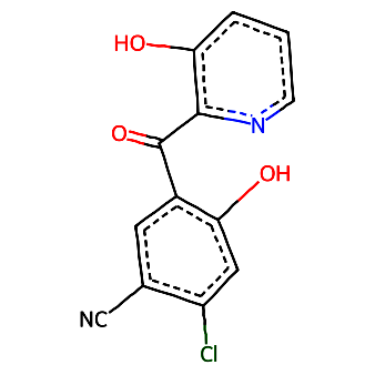 N#Cc1cc(C(=O)c2ncccc2O)c(O)cc1Cl